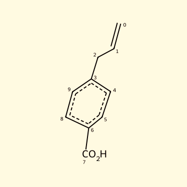 C=CCc1ccc(C(=O)O)cc1